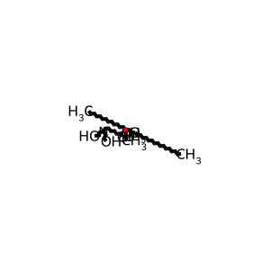 CCCCCCCCCCCCCCCCOC(CCCCCCCCCCCCCCC)O[Si](C)(C)OCCCCCCN(CCO)CCO